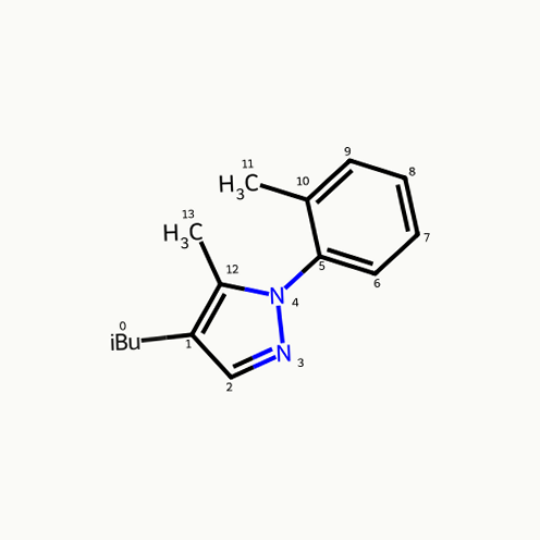 CCC(C)c1cnn(-c2ccccc2C)c1C